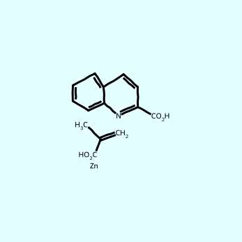 C=C(C)C(=O)O.O=C(O)c1ccc2ccccc2n1.[Zn]